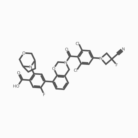 N#CC1(F)CN(c2cc(Cl)c(C(=O)N3COc4c(cccc4-c4cc(N5C6CCC5COC6)c(C(=O)O)cc4F)C3)c(Cl)c2)C1